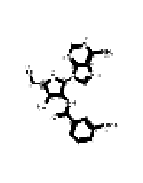 COc1cccc(C(=O)NC2C(O)[C@@H](CO)O[C@H]2n2cnc3c(N)ncnc32)c1